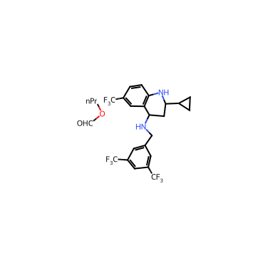 CCCOC=O.FC(F)(F)c1cc(CNC2CC(C3CC3)Nc3ccc(C(F)(F)F)cc32)cc(C(F)(F)F)c1